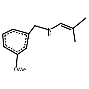 COc1cccc(CNC=C(C)C)c1